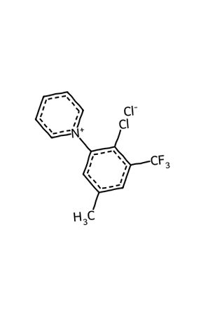 Cc1cc(-[n+]2ccccc2)c(Cl)c(C(F)(F)F)c1.[Cl-]